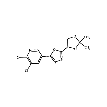 CC1(C)OCC(c2nnc(-c3cnc(Cl)c(Cl)c3)o2)O1